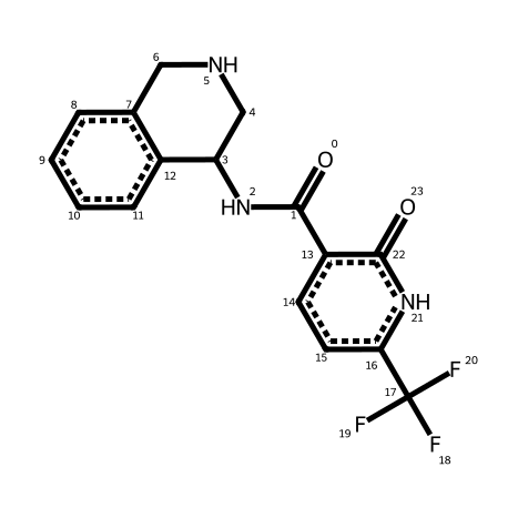 O=C(NC1CNCc2ccccc21)c1ccc(C(F)(F)F)[nH]c1=O